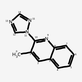 Cc1cc2ccccc2nc1-n1cncn1